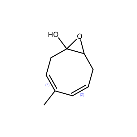 CC1=C/CC2(O)OC2C/C=C\1